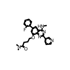 CNc1nc(-c2cccnc2)nc2c(OCCCC(=O)N(C)C)cc(-c3ccccc3F)cc12